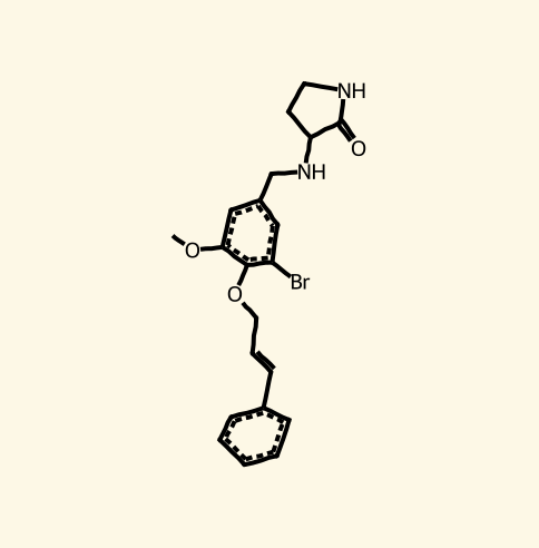 COc1cc(CNC2CCNC2=O)cc(Br)c1OCC=Cc1ccccc1